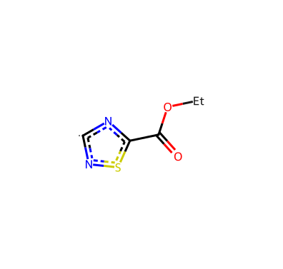 CCOC(=O)c1n[c]ns1